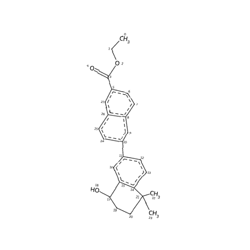 CCOC(=O)c1ccc2cc(-c3ccc4c(c3)C(O)CCC4(C)C)ccc2c1